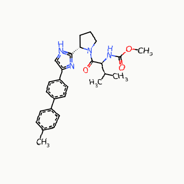 COC(=O)N[C@H](C(=O)N1CCC[C@H]1c1nc(-c2ccc(-c3ccc(C)cc3)cc2)c[nH]1)C(C)C